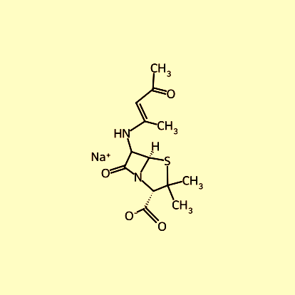 CC(=O)/C=C(\C)NC1C(=O)N2[C@@H]1SC(C)(C)[C@@H]2C(=O)[O-].[Na+]